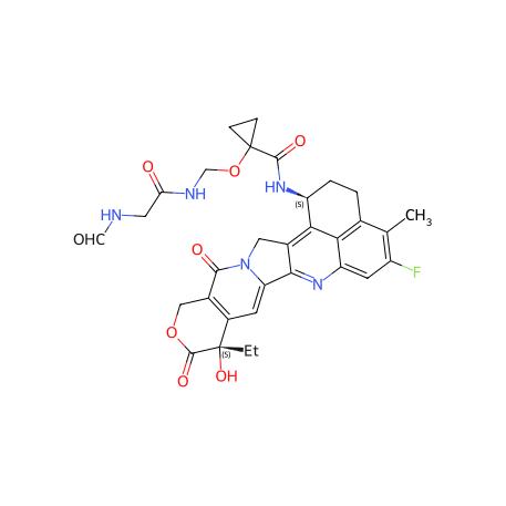 CC[C@@]1(O)C(=O)OCc2c1cc1n(c2=O)Cc2c-1nc1cc(F)c(C)c3c1c2[C@@H](NC(=O)C1(OCNC(=O)CNC=O)CC1)CC3